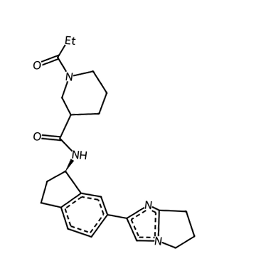 CCC(=O)N1CCCC(C(=O)N[C@@H]2CCc3ccc(-c4cn5c(n4)CCC5)cc32)C1